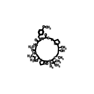 COc1ccc(C[C@@H]2NC(=O)CC[C@@H]3CSC(=N3)[C@@H](C)[C@@H](O)C[C@H](C)C[C@@H](C(C)(C)C)OC(=O)[C@@H]3CCCN3C(O)[C@H](C(C)C)NC(=O)[C@H](C)NC2=O)cc1